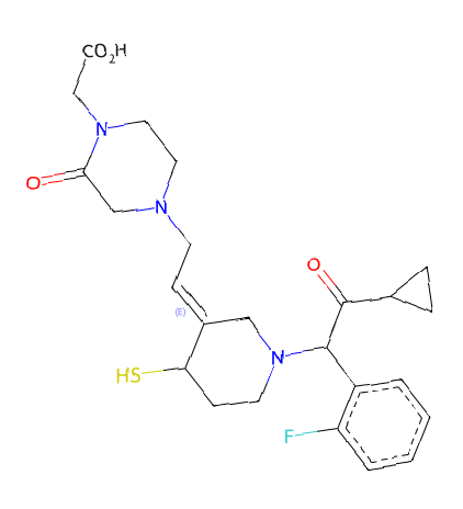 O=C(O)CN1CCN(C/C=C2\CN(C(C(=O)C3CC3)c3ccccc3F)CCC2S)CC1=O